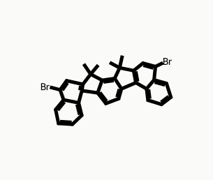 CC1(C)c2cc(Br)c3ccccc3c2-c2ccc3c(c21)C(C)(C)c1cc(Br)c2ccccc2c1-3